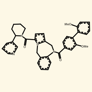 COc1ccccc1-c1ccc(C(=O)N2Cc3ccc(C(=O)N4CCCCC4c4cccnc4)n3Cc3ccccc32)cc1OC